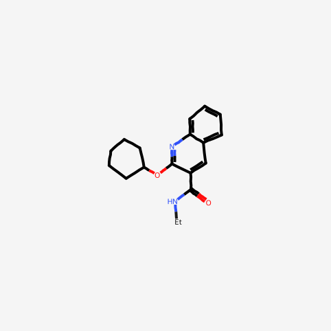 [CH2]CNC(=O)c1cc2ccccc2nc1OC1CCCCC1